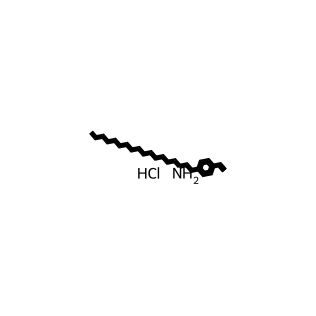 C=Cc1ccc(CCC(N)CCCCCCCCCCCCCCC)cc1.Cl